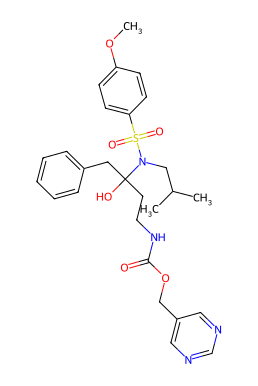 COc1ccc(S(=O)(=O)N(CC(C)C)C(O)(CCNC(=O)OCc2cncnc2)Cc2ccccc2)cc1